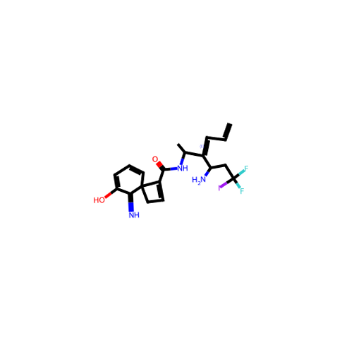 C=C/C=C(\C(N)CC(F)(F)I)C(C)NC(=O)C1=CCC12C=CC=C(O)C2=N